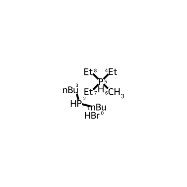 Br.CCCCPCCCC.CC[PH](C)(CC)CC